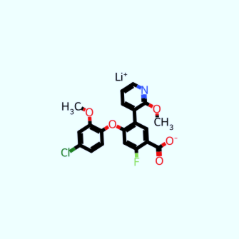 COc1cc(Cl)ccc1Oc1cc(F)c(C(=O)[O-])cc1-c1cccnc1OC.[Li+]